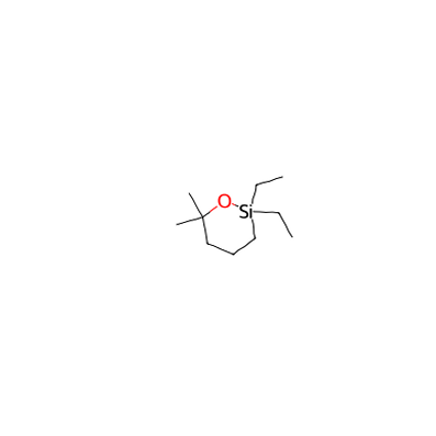 CC[Si]1(CC)CCCC(C)(C)O1